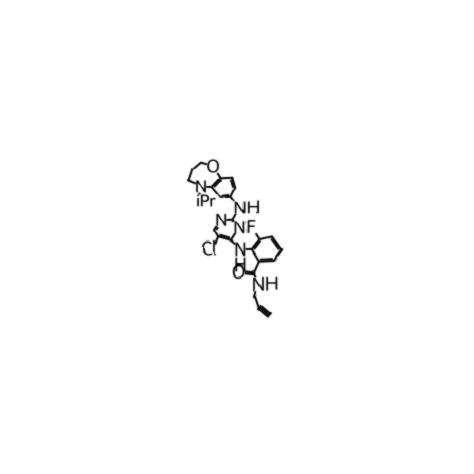 C#CCNC(=O)c1cccc(F)c1Nc1nc(Nc2ccc3c(c2)N(C(C)C)CCCO3)ncc1Cl